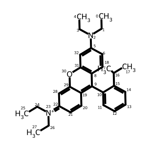 CCN(CC)c1ccc2c(-c3ccccc3C(C)C)c3ccc(=[N+](CC)CC)cc-3oc2c1